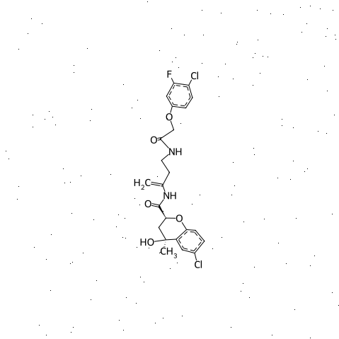 C=C(CCNC(=O)COc1ccc(Cl)c(F)c1)NC(=O)[C@@H]1C[C@](C)(O)c2cc(Cl)ccc2O1